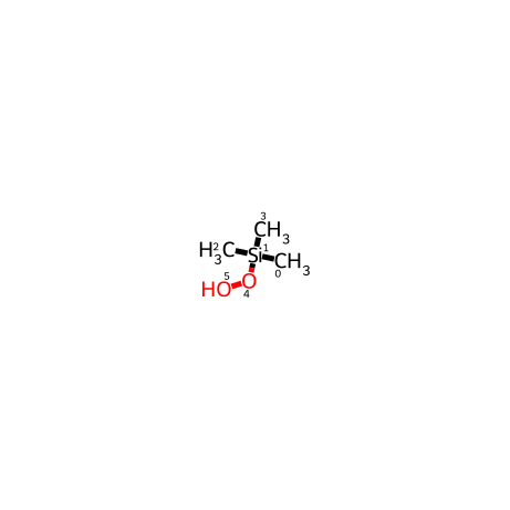 C[Si](C)(C)OO